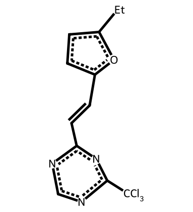 CCc1ccc(C=Cc2ncnc(C(Cl)(Cl)Cl)n2)o1